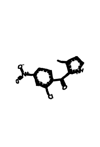 Cc1cc[nH]c1C(=O)c1ccc([N+](=O)[O-])cc1Cl